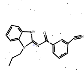 CCCn1/c(=N/C(=O)c2cccc(C#N)c2)[nH]c2ccccc21